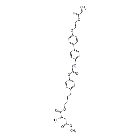 C=CC(=O)OCCOc1ccc(-c2ccc(/C=C/C(=O)Oc3ccc(OCCCOC(=O)C(=C)CC(=O)OC)cc3)cc2)cc1